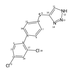 Clc1ccc(-c2ccc(Sc3c[nH]nn3)cc2)c(Cl)c1